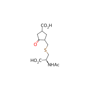 CC(=O)N[C@H](CSCC1CC(C(=O)O)CC1=O)C(=O)O